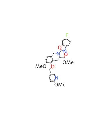 COC(=O)C1Cc2c(ccc(OC)c2OCc2ccc(OC)nc2)CN1c1nc2ccc(F)cc2o1